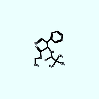 C=CC(c1ccccc1)C(N[S+]([O-])C(C)(C)C)C(=O)OCC